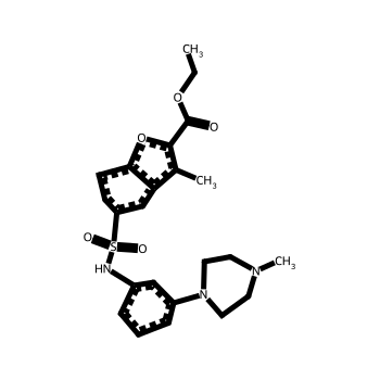 CCOC(=O)c1oc2ccc(S(=O)(=O)Nc3cccc(N4CCN(C)CC4)c3)cc2c1C